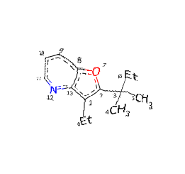 CCc1c(C(C)(C)CC)oc2cccnc12